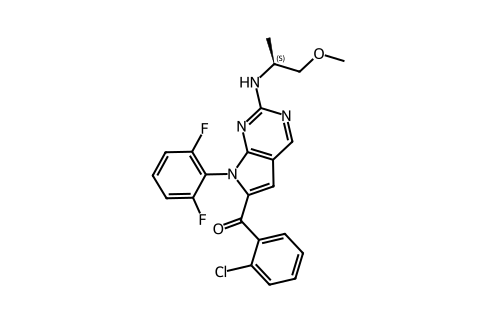 COC[C@H](C)Nc1ncc2cc(C(=O)c3ccccc3Cl)n(-c3c(F)cccc3F)c2n1